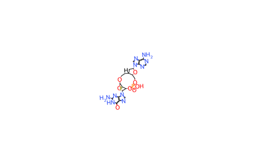 Nc1nc2c(ncn2C2OC3OCC[C@@H]4C[C@H](n5cnc6c(N)ncnc65)OC4COP(=O)(O)OC2C3F)c(=O)[nH]1